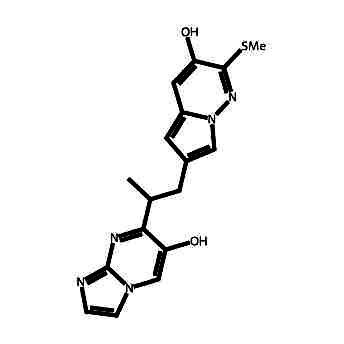 CSc1nn2cc(CC(C)c3nc4nccn4cc3O)cc2cc1O